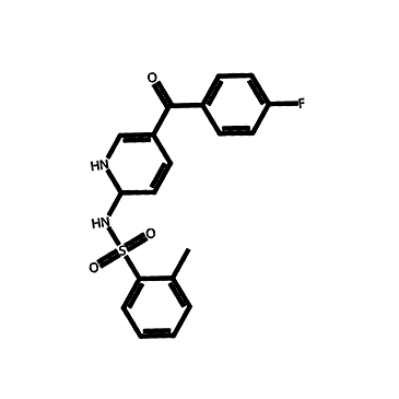 Cc1ccccc1S(=O)(=O)NC1C=CC(C(=O)c2ccc(F)cc2)=CN1